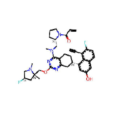 C#Cc1c(F)ccc2cc(O)cc([C@H]3CCc4c(nc(OC[C@]5(C)C[C@@H](F)CN5C)nc4N(C)C[C@@H]4CCCN4C(=O)C=C)C3)c12